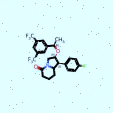 C[C@@H](O[C@H]1CN2C(=O)CCCC2[C@@H]1c1ccc(F)cc1)c1cc(C(F)(F)F)cc(C(F)(F)F)c1